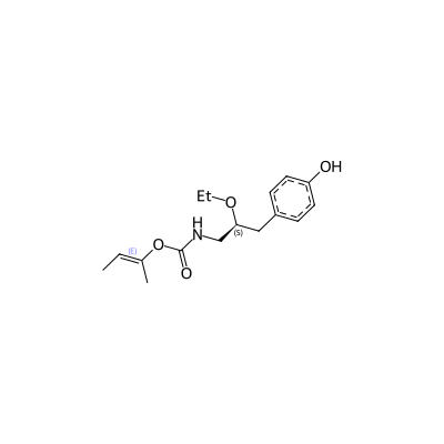 C/C=C(\C)OC(=O)NC[C@H](Cc1ccc(O)cc1)OCC